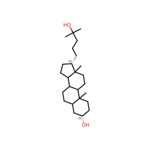 CC(C)(O)CCC[C@H]1CCC2C3CCC4C[C@@H](O)CCC4(C)C3CCC21C